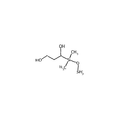 C[Si](C)(O[SiH3])C(O)CCO